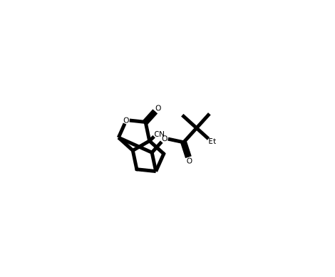 CCC(C)(C)C(=O)OC1C2CC3C1OC(=O)C3(C#N)C2